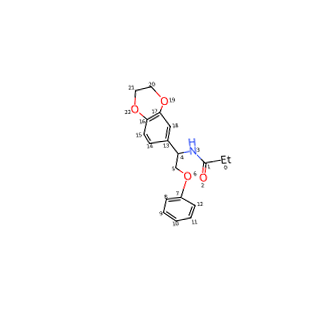 CCC(=O)NC(COc1ccccc1)c1ccc2c(c1)OCCO2